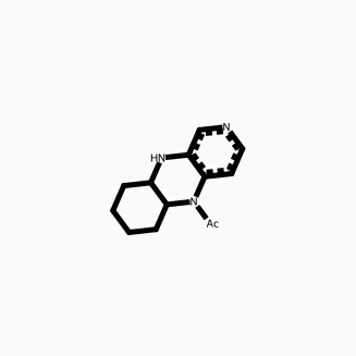 CC(=O)N1c2ccncc2NC2CCCCC21